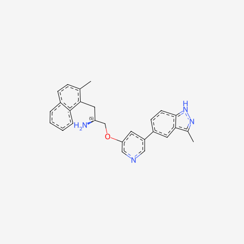 Cc1ccc2ccccc2c1C[C@H](N)COc1cncc(-c2ccc3[nH]nc(C)c3c2)c1